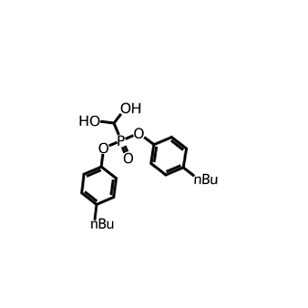 CCCCc1ccc(OP(=O)(Oc2ccc(CCCC)cc2)C(O)O)cc1